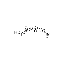 Cc1cc(OCCCS(C)(=O)=O)cc2c1-c1cccc(COc3ccc4c(c3)OC[C@H]4CC(=O)O)c1OCC2